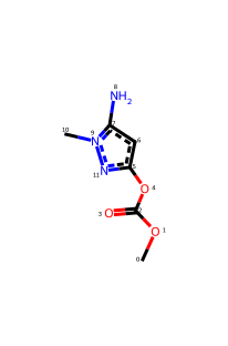 COC(=O)Oc1cc(N)n(C)n1